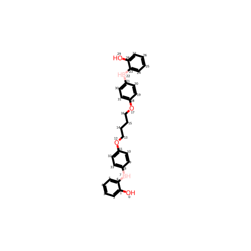 Oc1ccccc1Bc1ccc(OCCCCOc2ccc(Bc3ccccc3O)cc2)cc1